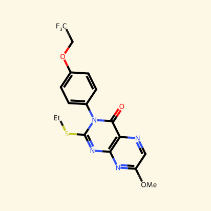 CCSc1nc2nc(OC)cnc2c(=O)n1-c1ccc(OCC(F)(F)F)cc1